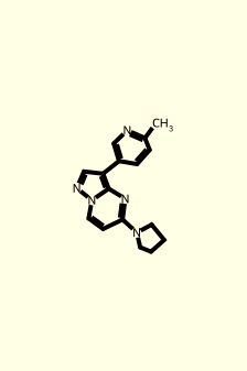 Cc1ccc(-c2cnn3ccc(N4CCCC4)nc23)cn1